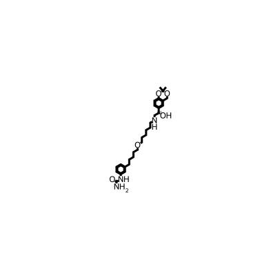 CC1(C)OCc2cc([C@@H](O)CNCCCCCCOCCCCCc3cccc(NC(N)=O)c3)ccc2O1